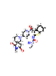 CCNC(=O)Nc1sc2ccccc2c1C(=O)N1CCC(N2CCCC3(CC(=O)N(C)C3=O)C2)CC1